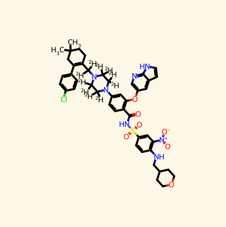 [2H]C([2H])(C1=C(c2ccc(Cl)cc2)CC(C)(C)CC1)N1C([2H])([2H])C([2H])([2H])N(c2ccc(C(=O)NS(=O)(=O)c3ccc(NCC4CCOCC4)c([N+](=O)[O-])c3)c(Oc3cnc4[nH]ccc4c3)c2)C([2H])([2H])C1([2H])[2H]